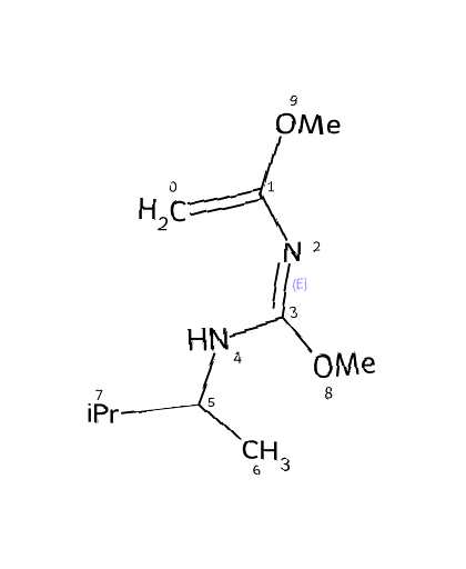 C=C(/N=C(\NC(C)C(C)C)OC)OC